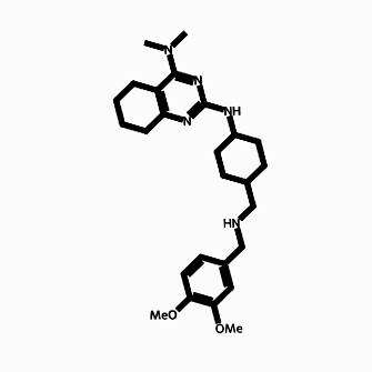 COc1ccc(CNCC2CCC(Nc3nc4c(c(N(C)C)n3)CCCC4)CC2)cc1OC